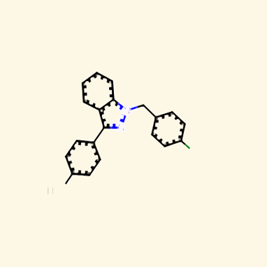 Cc1ccc(-c2nn(Cc3ccc(Cl)cc3)c3ccccc23)cc1